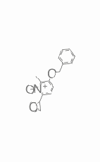 Cc1c(OCc2ccccc2)ccc(C2CO2)[n+]1[O-]